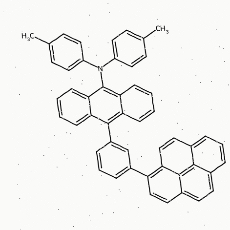 Cc1ccc(N(c2ccc(C)cc2)c2c3ccccc3c(-c3cccc(-c4ccc5ccc6cccc7ccc4c5c67)c3)c3ccccc23)cc1